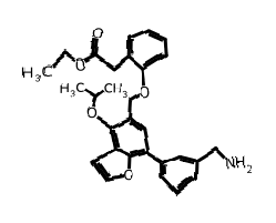 CCOC(=O)Cc1ccccc1OCc1cc(-c2cccc(CN)c2)c2occc2c1OC(C)C